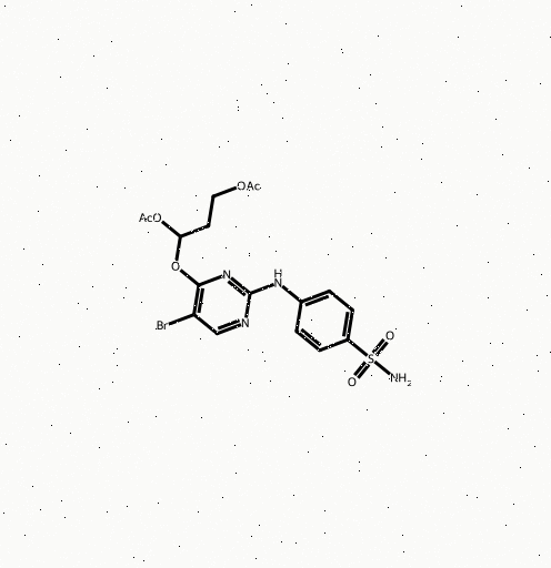 CC(=O)OCCC(OC(C)=O)Oc1nc(Nc2ccc(S(N)(=O)=O)cc2)ncc1Br